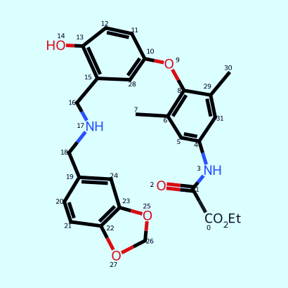 CCOC(=O)C(=O)Nc1cc(C)c(Oc2ccc(O)c(CNCc3ccc4c(c3)OCO4)c2)c(C)c1